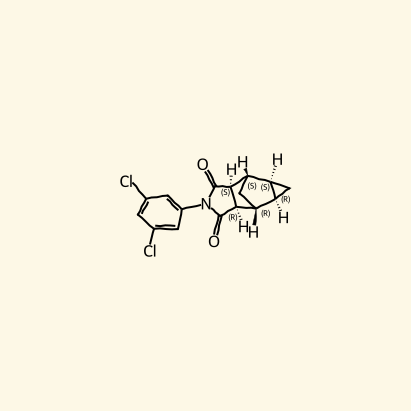 O=C1[C@@H]2[C@@H]3C[C@@H]([C@H]4C[C@H]43)[C@@H]2C(=O)N1c1cc(Cl)cc(Cl)c1